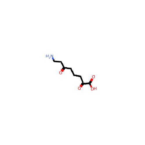 NCCC(=O)CCCC(=O)C(=O)O